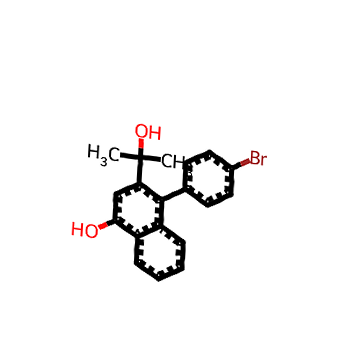 CC(C)(O)c1cc(O)c2ccccc2c1-c1ccc(Br)cc1